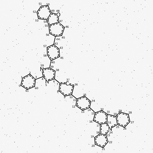 c1ccc(-c2nc(-c3ccc(-c4ccc(-c5cc6c7ccccc7n7c8ccccc8c(c5)c67)cc4)cc3)cc(-c3ccc(-c4ccc5oc6ccccc6c5c4)cc3)n2)cc1